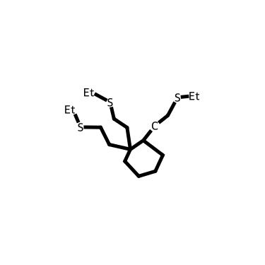 CCSCCC1CCCCC1(CCSCC)CCSCC